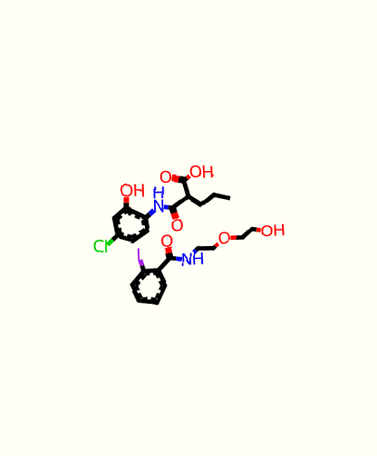 CCCC(C(=O)O)C(=O)Nc1ccc(Cl)cc1O.O=C(NCCOCCO)c1ccccc1I